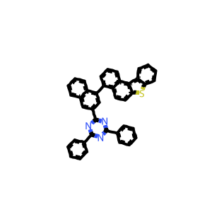 c1ccc(-c2nc(-c3ccccc3)nc(-c3cc(-c4cccc5c4ccc4sc6ccccc6c45)c4ccccc4c3)n2)cc1